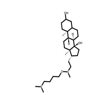 CN(C)CCCCON(C)CC[C@H]1CC[C@@]2(O)[C@@H]3CCC4CC(O)CC[C@]4(C)[C@H]3CC[C@]12C